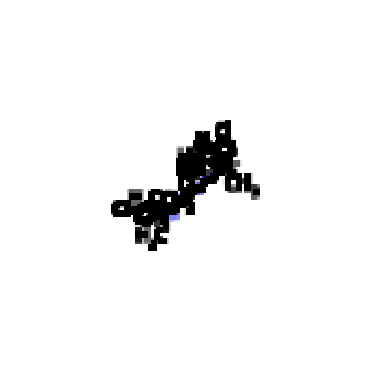 CCN1/C(=C/C=C/C(=C/C=C/C2=[N+](CC)c3ccc(Cl)cc3C2(C)C)Oc2ccc([N+]#N)cc2)C(C)(C)c2cc(Cl)ccc21